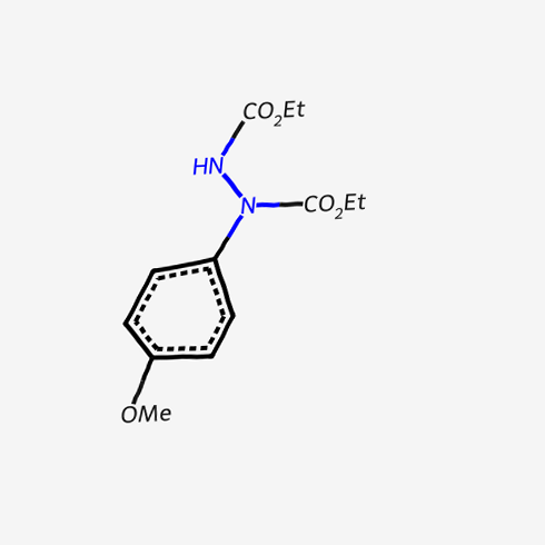 CCOC(=O)NN(C(=O)OCC)c1ccc(OC)cc1